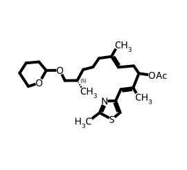 CC(=O)OC(CC=C(C)CCC[C@H](C)COC1CCCCO1)C(C)=Cc1csc(C)n1